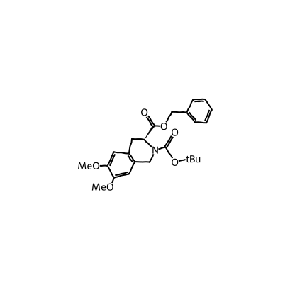 COc1cc2c(cc1OC)CN(C(=O)OC(C)(C)C)[C@H](C(=O)OCc1ccccc1)C2